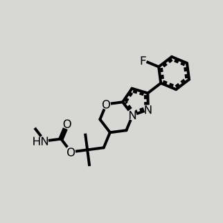 CNC(=O)OC(C)(C)CC1COc2cc(-c3ccccc3F)nn2C1